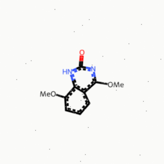 COc1nc(=O)[nH]c2c(OC)cccc12